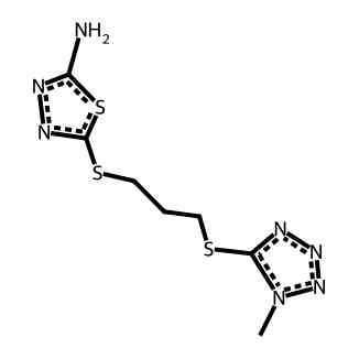 Cn1nnnc1SCCCSc1nnc(N)s1